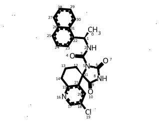 C[C@@H](NC(=O)N1C(=O)NC(=O)[C@@]12CCCc1ncc(Cl)cc12)c1cccc2ccccc12